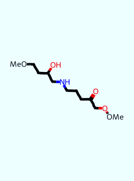 COCCC(O)CNCCCC(=O)COOC